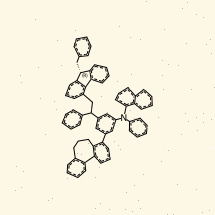 c1ccc(C[C@@H]2c3ccccc3-c3c(CC(c4ccccc4)c4cc(-c5cccc6c5CCCc5ccccc5-6)cc(N(c5ccccc5)c5cccc6ccccc56)c4)cccc32)cc1